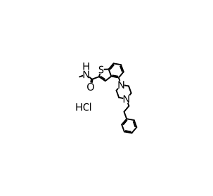 CNC(=O)c1cc2c(N3CCN(CCc4ccccc4)CC3)cccc2s1.Cl